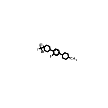 CC1CCC(c2ccc(C3CCC(Br)(C(F)(F)Br)CC3)c(F)c2)CC1